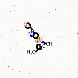 CCc1ccc(N(CC(C)C)S(=O)(=O)c2ccc3c(cnn3CC3CCOCC3)c2)cc1